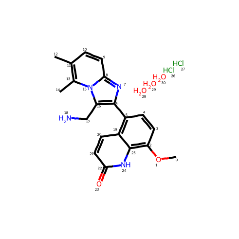 COc1ccc(-c2nc3ccc(C)c(C)n3c2CN)c2ccc(=O)[nH]c12.Cl.Cl.O.O.O